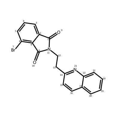 O=C1c2cccc(Br)c2C(=O)N1CCc1ccc2ccccc2n1